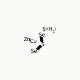 [Cu].[Se]=S=[Se].[SnH2].[Zn]